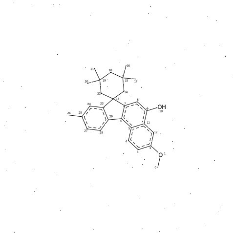 COc1ccc2c3c(cc(O)c2c1)C1(CC(C)(C)CC(C)(C)C1)c1cc(C)ccc1-3